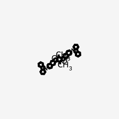 Cc1c2oc3cc4cc(-n5c6ccccc6c6ccccc65)ccc4cc3c2c(C)c2oc3cc4cc(-n5c6ccccc6c6ccccc65)ccc4cc3c12